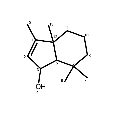 CC1=CC(O)C2C(C)(C)CCCC12C